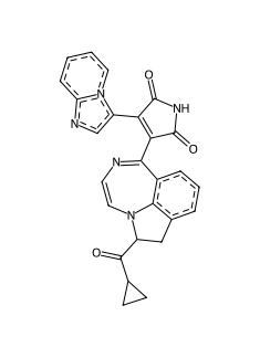 O=C1NC(=O)C(c2cnc3ccccn23)=C1C1=NC=CN2c3c(cccc31)CC2C(=O)C1CC1